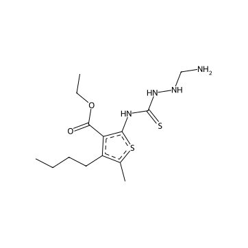 CCCCc1c(C)sc(NC(=S)NNCN)c1C(=O)OCC